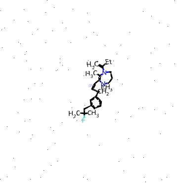 C=C(/C=C\C1=C(C)N(C(=C)CC)CCCN1C)c1cccc(CC(C)(C)F)c1